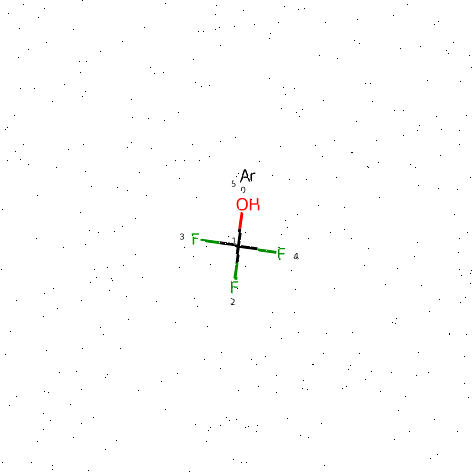 OC(F)(F)F.[Ar]